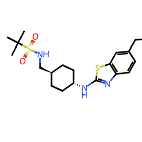 CCc1ccc2nc(N[C@H]3CC[C@H](CNS(=O)(=O)C(C)(C)C)CC3)sc2c1